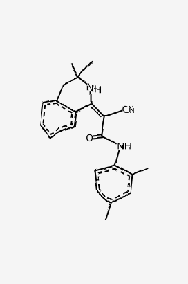 Cc1ccc(NC(=O)C(C#N)=C2NC(C)(C)Cc3ccccc32)c(C)c1